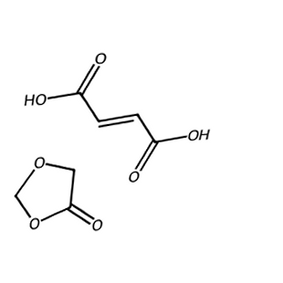 O=C(O)C=CC(=O)O.O=C1COCO1